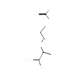 CCCCC(C(C)=O)C(C)OCCOC(=O)CC